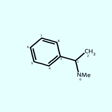 CNC(C)c1ccccc1